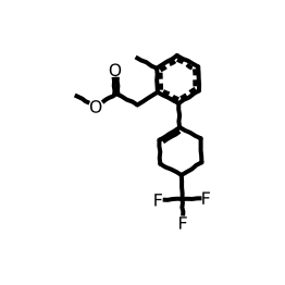 COC(=O)Cc1c(C)cccc1C1=CCC(C(F)(F)F)CC1